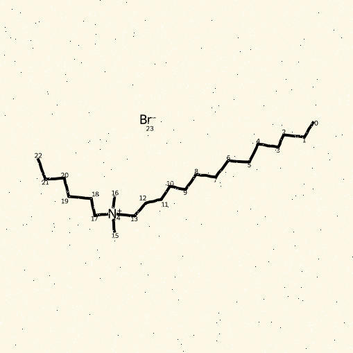 CCCCCCCCCCCCCC[N+](C)(C)CCCCCC.[Br-]